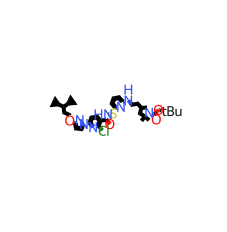 CC(C)(C)OC(=O)N1CC(CCNc2cccc(SNC(=O)c3ccc(-n4ccc(OCCC(C5CC5)C5CC5)n4)nc3Cl)n2)CC1(C)C